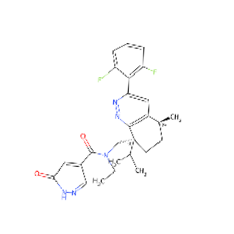 CCN(C[C@@]1(C(C)C)CC[C@H](C)c2cc(-c3c(F)cccc3F)nnc21)C(=O)c1cn[nH]c(=O)c1